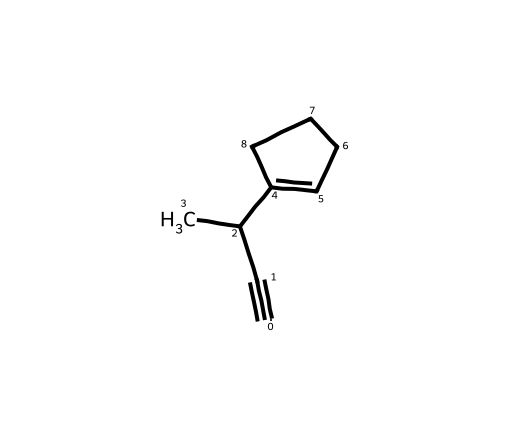 [C]#CC(C)C1=CCCC1